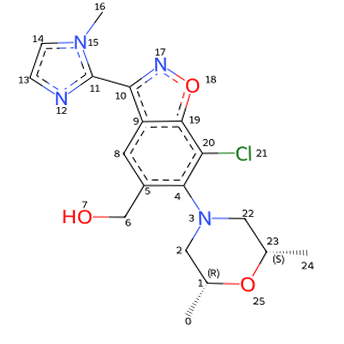 C[C@@H]1CN(c2c(CO)cc3c(-c4nccn4C)noc3c2Cl)C[C@H](C)O1